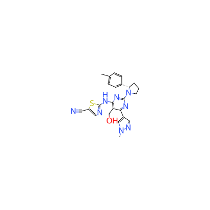 Cc1ccc([C@@H]2CCCN2c2nc(Nc3ncc(C#N)s3)c(CO)c(-c3cnn(C)c3)n2)cc1